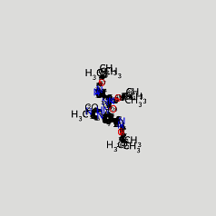 CN(C(=O)O)C1CCN(c2ccc(-c3cnn(COCC[Si](C)(C)C)c3)cc2NC(=O)c2nc(-c3cnn(COCC[Si](C)(C)C)c3)cn2COCC[Si](C)(C)C)CC1